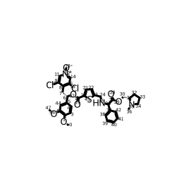 COc1ccc([C@H](Cc2c(Cl)c[n+]([O-])cc2Cl)OC(=O)c2ccc(CNC(C(=O)OC[C@@H]3CCCN3C)c3ccccc3)s2)cc1OC